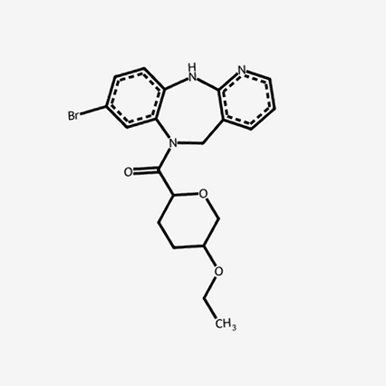 CCOC1CCC(C(=O)N2Cc3cccnc3Nc3ccc(Br)cc32)OC1